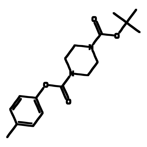 Cc1ccc(OC(=O)N2CCN(C(=O)OC(C)(C)C)CC2)cc1